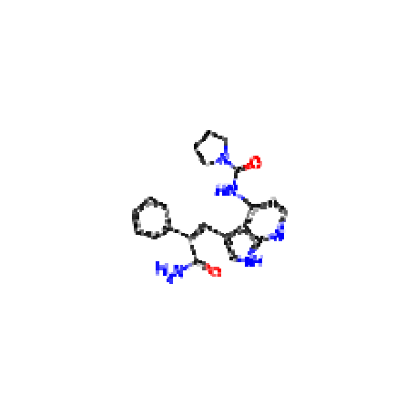 NC(=O)/C(=C\c1c[nH]c2nccc(NC(=O)N3CCCC3)c12)c1ccccc1